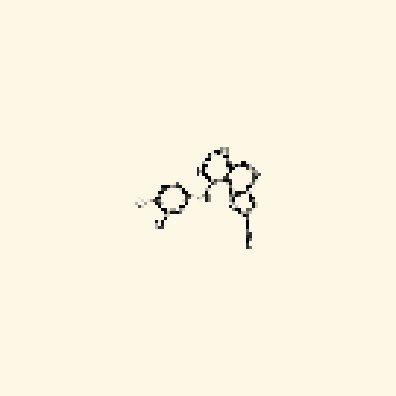 N#Cc1nc2ccc3ncnc(Nc4ccc(Cl)c(Cl)c4)c3c2s1